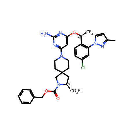 CCOC(=O)[C@@H]1CC2(CCN(c3cc(O[C@H](c4ccc(Cl)cc4-n4ccc(C)n4)C(F)(F)F)nc(N)n3)CC2)CN1C(=O)OCc1ccccc1